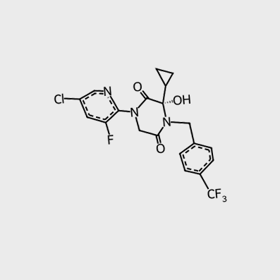 O=C1CN(c2ncc(Cl)cc2F)C(=O)[C@@](O)(C2CC2)N1Cc1ccc(C(F)(F)F)cc1